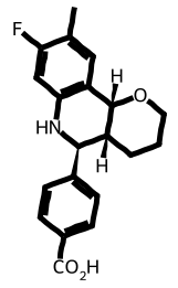 Cc1cc2c(cc1F)N[C@H](c1ccc(C(=O)O)cc1)[C@H]1CCCO[C@@H]21